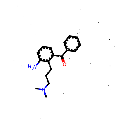 CN(C)CCCc1c(N)cccc1C(=O)c1ccccc1